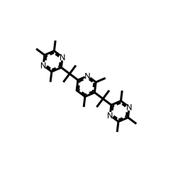 Cc1cc(C(C)(C)c2nc(C)c(C)nc2C)nc(C)c1C(C)(C)c1nc(C)c(C)nc1C